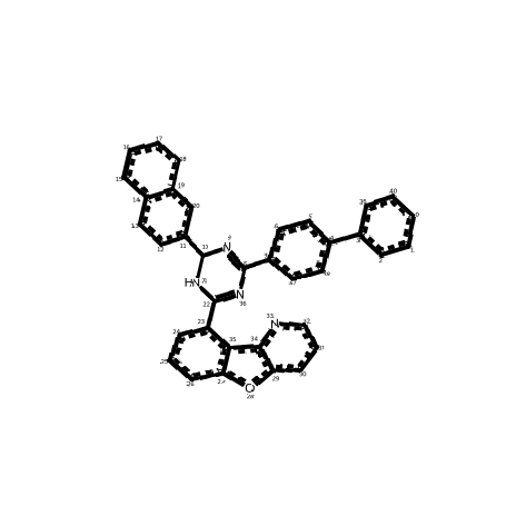 c1ccc(-c2ccc(C3=NC(c4ccc5ccccc5c4)NC(c4cccc5oc6cccnc6c45)=N3)cc2)cc1